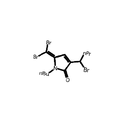 CCCCN1C(=O)C(C(Br)CCC)=CC1=C(Br)Br